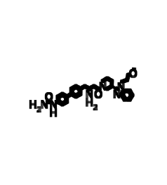 COCCCn1c([C@@H]2CCCN(C(=O)C[C@H](N)Cc3ccc(-c4ccc(NC(N)=O)cc4)cc3)C2)nc2ccccc21